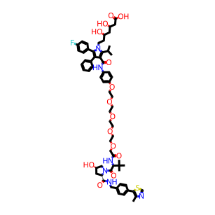 Cc1ncsc1-c1ccc(CNC(=O)[C@@H]2C[C@@H](O)CN2C(=O)C(NC(=O)COCCOCCOCCOCCOc2ccc(NC(=O)c3c(-c4ccccc4)c(-c4ccc(F)cc4)n(CCC(O)CC(O)CC(=O)O)c3C(C)C)cc2)C(C)(C)C)cc1